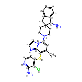 Cc1cc(N2CCC3(CC2)Cc2ccccc2[C@H]3N)n2ccnc2c1Sc1ccnc(N)c1Cl